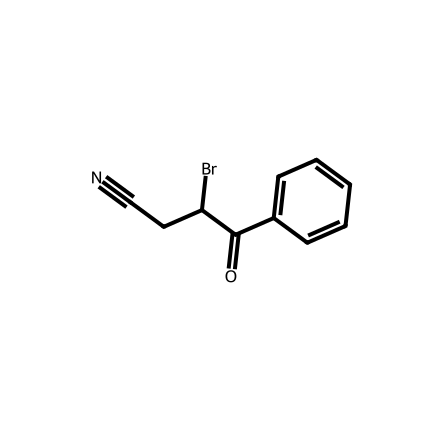 N#CCC(Br)C(=O)c1ccccc1